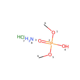 COP(=O)(O)OC.Cl.N